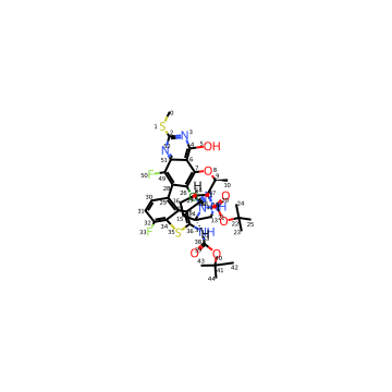 CSc1nc(O)c2c(O[C@@H](C)[C@H]3NC[C@H]4CC[C@@H]3N4C(=O)OC(C)(C)C)c(Cl)c(-c3ccc(F)c4sc(NC(=O)OC(C)(C)C)c(C#N)c34)c(F)c2n1